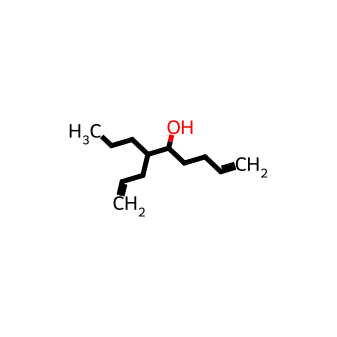 C=CCCC(O)C(CC=C)CCC